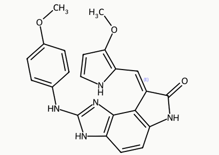 COc1ccc(Nc2nc3c4c(ccc3[nH]2)NC(=O)/C4=C/c2[nH]ccc2OC)cc1